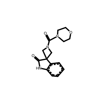 O=C(N1CCOCC1)N1CC2(C1)C(=O)Nc1ccccc12